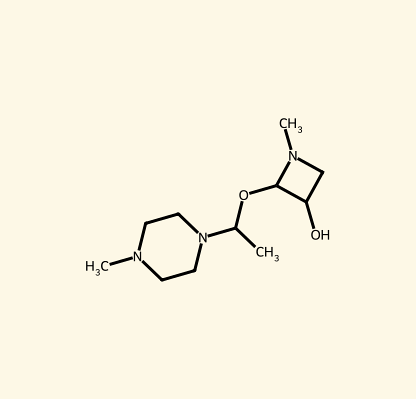 CC(OC1C(O)CN1C)N1CCN(C)CC1